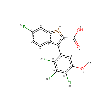 COc1cc(-c2c(C(=O)O)sc3cc(F)ccc23)c(F)c(F)c1Cl